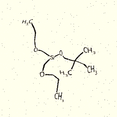 CCO[Si](OCC)OC(C)(C)C